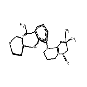 CC1(C)CC(=O)C2=C(C1)N(c1cccc(C(N)=O)c1NC1CCOCC1)CCC2